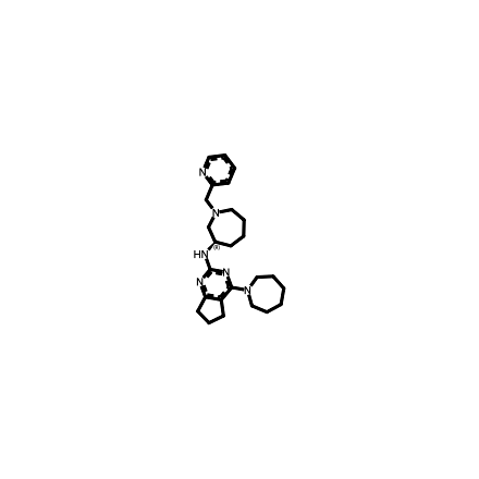 c1ccc(CN2CCCC[C@@H](Nc3nc4c(c(N5CCCCCC5)n3)CCC4)C2)nc1